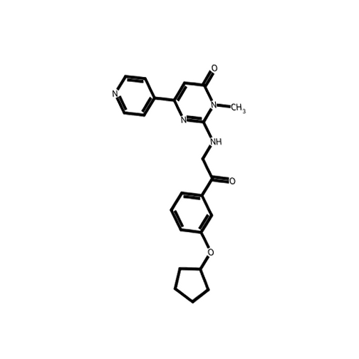 Cn1c(NCC(=O)c2cccc(OC3CCCC3)c2)nc(-c2ccncc2)cc1=O